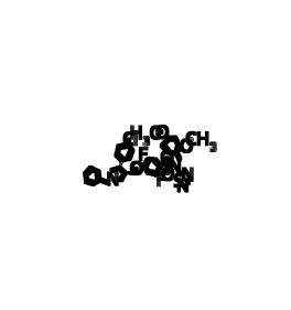 COc1ccc(CN(c2ncns2)S(=O)(=O)c2cc(F)c(OC[C@H]3CN(Cc4ccccc4)C[C@@H]3c3ccc(Cl)cc3)cc2F)c(OC)c1